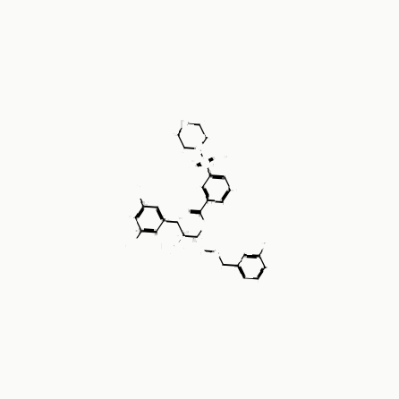 CCc1cccc(CNC[C@@H](OC(=O)c2cccc(S(=O)(=O)N3CCNCC3)c2)[C@@H](N)Cc2cc(F)cc(F)c2)c1